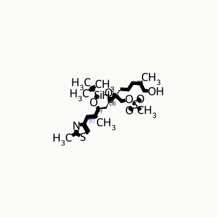 C/C(=C\c1csc(C)n1)[C@H](C[C@@H]1O[C@@]1(CCC[C@H](C)CO)COS(C)(=O)=O)O[SiH2]C(C)(C)C